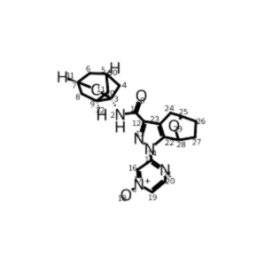 O=C(N[C@]12C[C@@H]3C[C@@H](C[C@H]1C3)C2)c1nn(-c2c[n+]([O-])ccn2)c2c1CC1CCC2O1